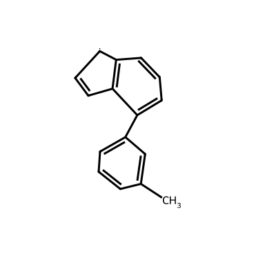 Cc1cccc(-c2cccc3c2C=C[CH]3)c1